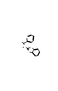 CC(C)C(c1ccccn1)[S+]([O-])c1nc2ccccc2[nH]1